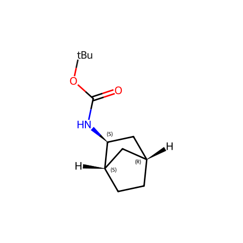 CC(C)(C)OC(=O)N[C@H]1C[C@@H]2CC[C@H]1C2